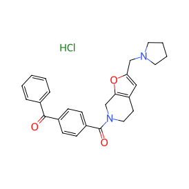 Cl.O=C(c1ccccc1)c1ccc(C(=O)N2CCc3cc(CN4CCCC4)oc3C2)cc1